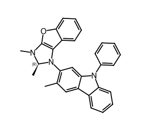 Cc1cc2c3ccccc3n(-c3ccccc3)c2cc1N1c2c(oc3ccccc23)N(C)[C@@H]1C